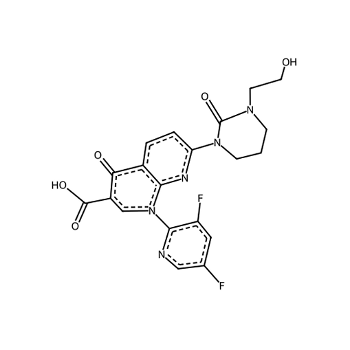 O=C(O)c1cn(-c2ncc(F)cc2F)c2nc(N3CCCN(CCO)C3=O)ccc2c1=O